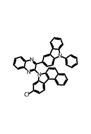 Clc1ccc2c3c4ccccc4ccc3n(-c3nc4ccccc4nc3-c3ccc4c(c3)c3ccccc3n4-c3ccccc3)c2c1